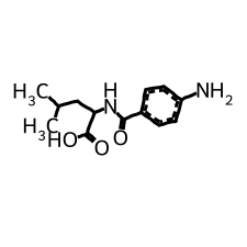 CC(C)CC(NC(=O)c1ccc(N)cc1)C(=O)O